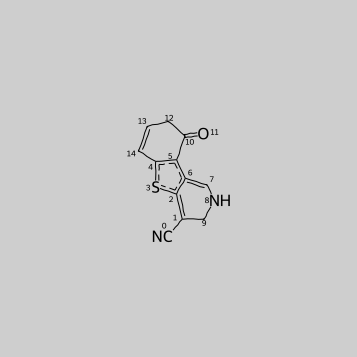 N#CC1=c2sc3c(c2=CNC1)C(=O)CC=C3